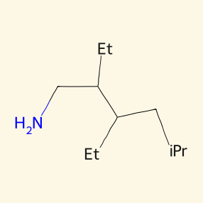 CCC(CN)C(CC)CC(C)C